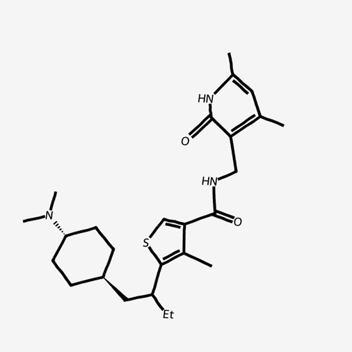 CCC(C[C@H]1CC[C@H](N(C)C)CC1)c1scc(C(=O)NCc2c(C)cc(C)[nH]c2=O)c1C